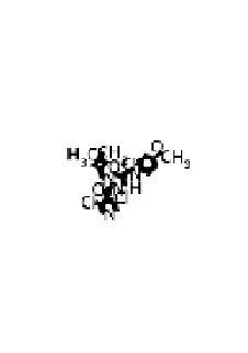 C/C(N[C@H]1CC[C@H](C(C)=O)CC1)=C(/C=N)C(=O)N(CC(=O)c1c(Cl)cncc1Cl)CC1CC(C)(C)C1